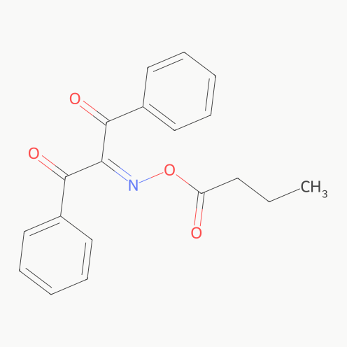 CCCC(=O)ON=C(C(=O)c1ccccc1)C(=O)c1ccccc1